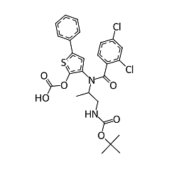 CC(CNC(=O)OC(C)(C)C)N(C(=O)c1ccc(Cl)cc1Cl)c1cc(-c2ccccc2)sc1OC(=O)O